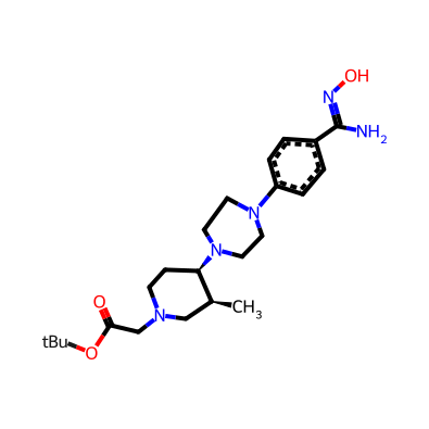 C[C@H]1CN(CC(=O)OC(C)(C)C)CC[C@H]1N1CCN(c2ccc(C(N)=NO)cc2)CC1